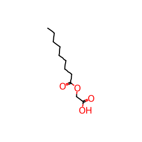 CCCCCCCCC(=O)OCC(=O)O